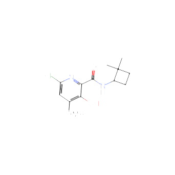 COc1cc(Cl)nc(C(=O)NC2CCC2(C)C)c1O